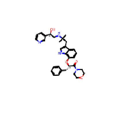 CC(C)(Cc1c[nH]c2c(O[C@@H](Cc3ccccc3)C(=O)N3CCOCC3)cccc12)NC[C@H](O)c1cccnc1